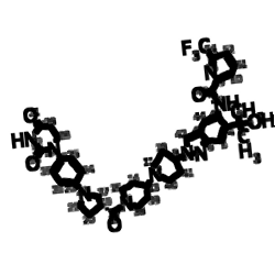 CC(C)(O)c1cc2nn(C3CCN(C4CCN(C(=O)[C@@H]5CCN(c6ccc(N7CCC(=O)NC7=O)cc6)C5)CC4)CC3)cc2cc1NC(=O)c1cccc(C(F)(F)F)n1